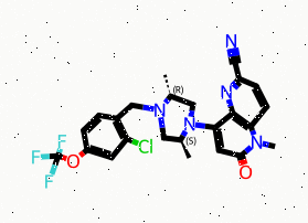 C[C@@H]1CN(c2cc(=O)n(C)c3ccc(C#N)nc23)[C@@H](C)CN1Cc1ccc(OC(F)(F)F)cc1Cl